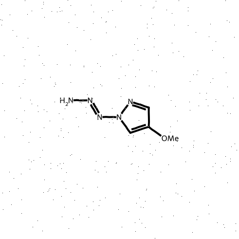 COc1cnn(/N=N/N)c1